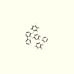 Fc1c(F)c(F)c(B2c3ccccc3Oc3cc4c(cc32)-n2c3ccccc3c3cccc(c32)B4c2c(F)c(F)c(F)c(F)c2F)c(F)c1F